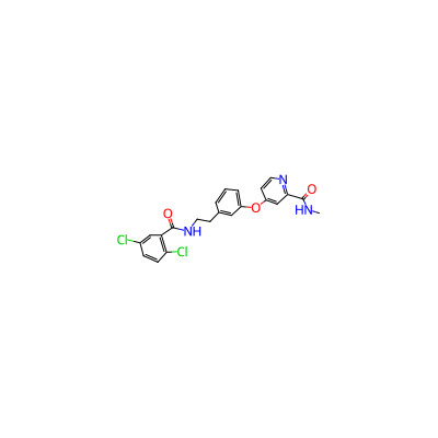 CNC(=O)c1cc(Oc2cccc(CCNC(=O)c3cc(Cl)ccc3Cl)c2)ccn1